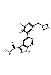 CC(C)(C)NC(=O)c1n[nH]c2ccc(-c3cc(CN4CCC4)cc(F)c3F)cc12